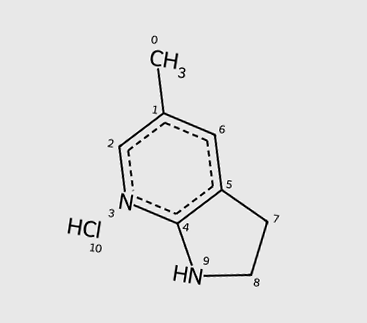 Cc1cnc2c(c1)CCN2.Cl